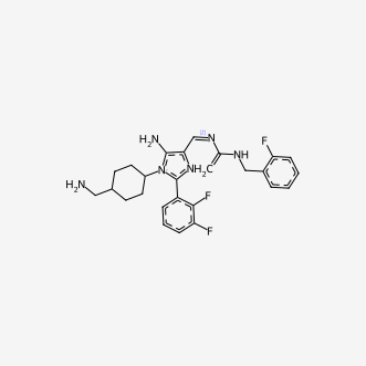 C=C(/N=C\c1nc(-c2cccc(F)c2F)n(C2CCC(CN)CC2)c1N)NCc1ccccc1F